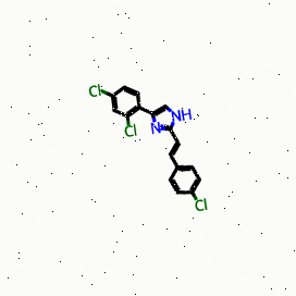 Clc1ccc(/C=C/c2nc(-c3ccc(Cl)cc3Cl)c[nH]2)cc1